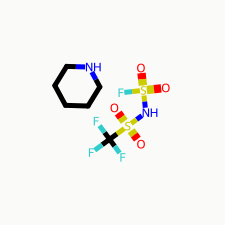 C1CCNCC1.O=S(=O)(F)NS(=O)(=O)C(F)(F)F